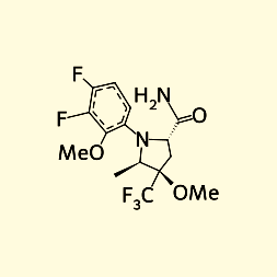 COc1c(N2[C@H](C(N)=O)C[C@](OC)(C(F)(F)F)[C@H]2C)ccc(F)c1F